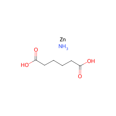 N.O=C(O)CCCCC(=O)O.[Zn]